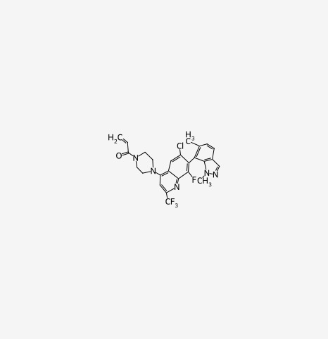 C=CC(=O)N1CCN(c2cc(C(F)(F)F)nc3c(F)c(-c4c(C)ccc5cnn(C)c45)c(Cl)cc23)CC1